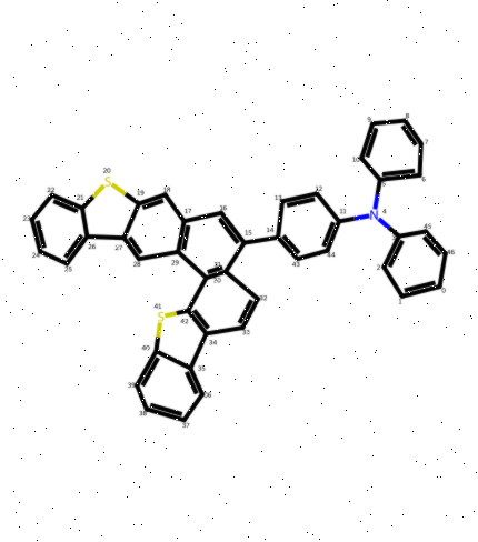 c1ccc(N(c2ccccc2)c2ccc(-c3cc4cc5sc6ccccc6c5cc4c4c3ccc3c5ccccc5sc34)cc2)cc1